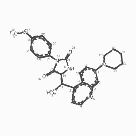 CC(c1ccnc2cc(N3CCCCC3)ccc12)C1NC(=O)N(c2ccc(SC(F)(F)F)cc2)C1=O